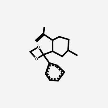 C=C(C)C1CCC(C)C[C]1C1(c2ccccc2)OCO1